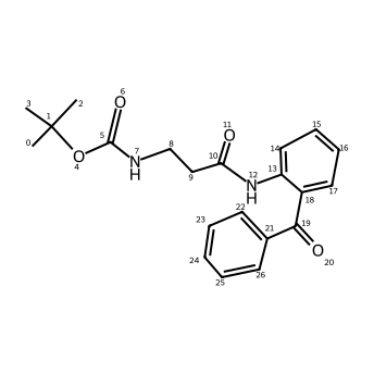 CC(C)(C)OC(=O)NCCC(=O)Nc1ccccc1C(=O)c1ccccc1